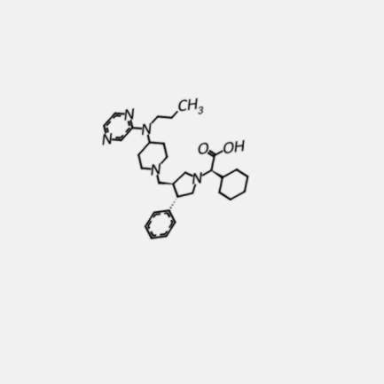 CCCN(c1cnccn1)C1CCN(C[C@H]2CN([C@@H](C(=O)O)C3CCCCC3)C[C@@H]2c2ccccc2)CC1